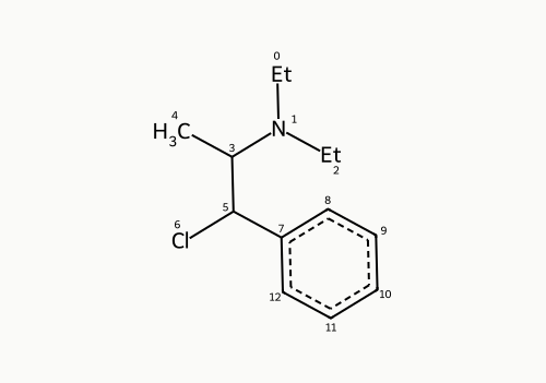 CCN(CC)C(C)C(Cl)c1ccccc1